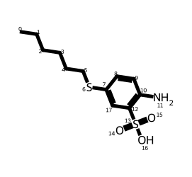 CCCCCCSc1ccc(N)c(S(=O)(=O)O)c1